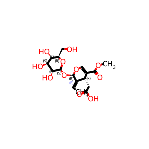 C/C=C1/[C@@H](O[C@@H]2O[C@H](CO)[C@@H](O)[C@H](O)[C@H]2O)OC=C(C(=O)OC)[C@@H]1CC(=O)O